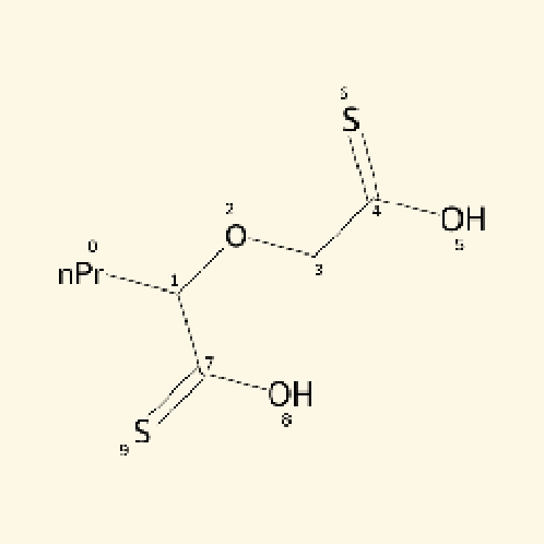 CCCC(OCC(O)=S)C(O)=S